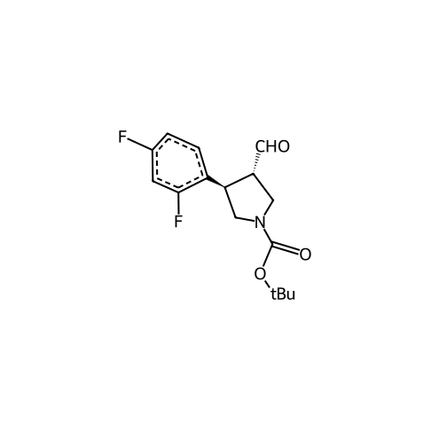 CC(C)(C)OC(=O)N1C[C@@H](C=O)[C@H](c2ccc(F)cc2F)C1